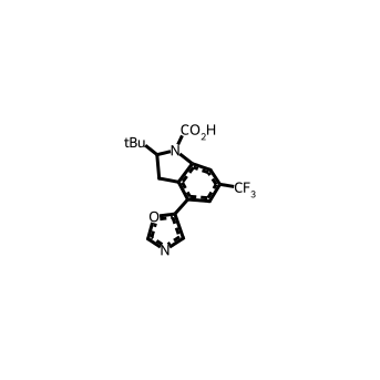 CC(C)(C)C1Cc2c(-c3cnco3)cc(C(F)(F)F)cc2N1C(=O)O